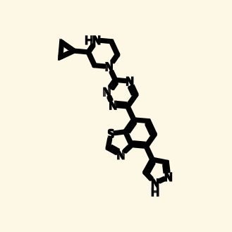 c1nc2c(-c3cn[nH]c3)ccc(-c3cnc(N4CCNC(C5CC5)C4)nn3)c2s1